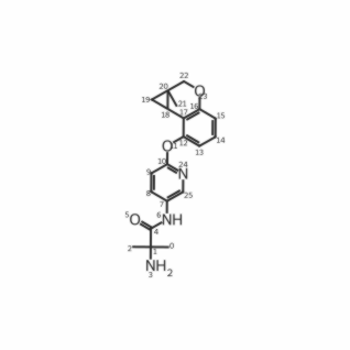 CC(C)(N)C(=O)Nc1ccc(Oc2cccc3c2C2CC2(C)CO3)nc1